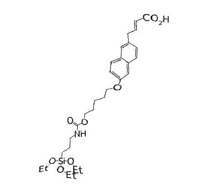 CCO[Si](CCCNC(=O)OCCCCCOc1ccc2cc(CC=CC(=O)O)ccc2c1)(OCC)OCC